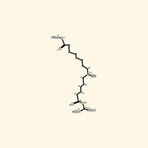 CCCCCCCCCOC(=O)CCCCCCCN(CCC)CCCCCC(=O)OC(CCCCCCCC)CCCCCCCC